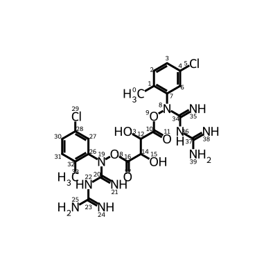 Cc1ccc(Cl)cc1N(OC(=O)C(O)C(O)C(=O)ON(C(=N)NC(=N)N)c1cc(Cl)ccc1C)C(=N)NC(=N)N